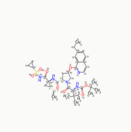 C=C[C@@H]1C[C@]1(NC(=O)[C@@H]1C[C@@H](Oc2nccc3ccc(CC)cc23)CN1C(=O)[C@@H](NC(=O)OC(C)(C)C)C(C)(C)C)C(=O)NS(=O)(=O)C1CC1